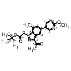 COc1ncc(-c2cc(C)c3c(c2)c(C(C)=O)nn3CC(=O)OC(C)(C)C)cn1